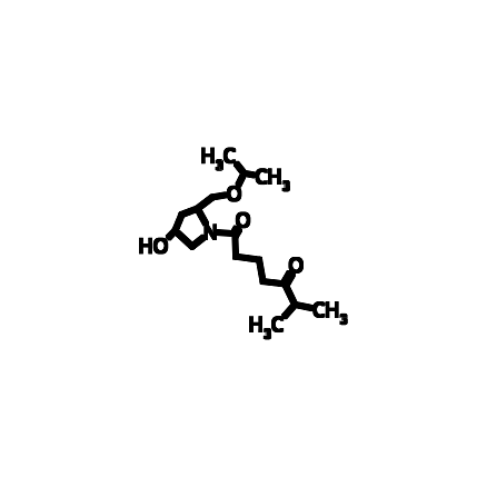 CC(C)OCC1CC(O)CN1C(=O)CCCC(=O)C(C)C